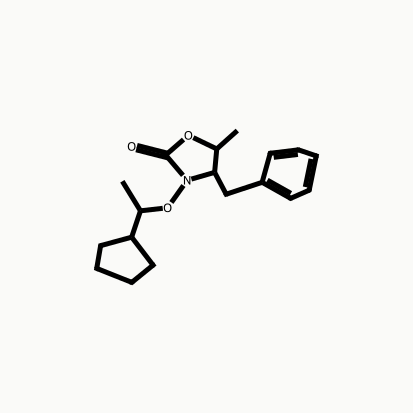 CC(ON1C(=O)OC(C)C1Cc1ccccc1)C1CCCC1